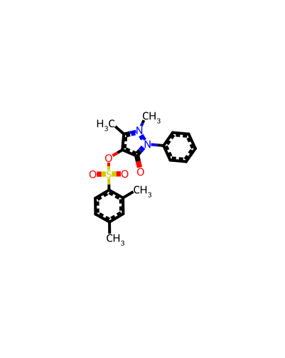 Cc1ccc(S(=O)(=O)Oc2c(C)n(C)n(-c3ccccc3)c2=O)c(C)c1